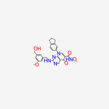 CONC(=O)c1cn(-c2ccc3c(c2)CCC3)c2nc(NCc3cc(CO)cc(OC)c3)ncc2c1=O